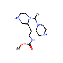 CCC(N1CCNCC1)N1CCNCC1CCNC(=O)OC(C)(C)C